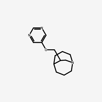 c1ncc(OCC2CN3CCCC2CCC3)cn1